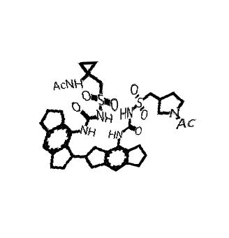 CC(=O)NC1(CS(=O)(=O)NC(=O)Nc2c3c(cc4c2C(C2Cc5cc6c(c(NC(=O)NS(=O)(=O)CC7CCN(C(C)=O)C7)c5C2)CCC6)CC4)CCC3)CC1